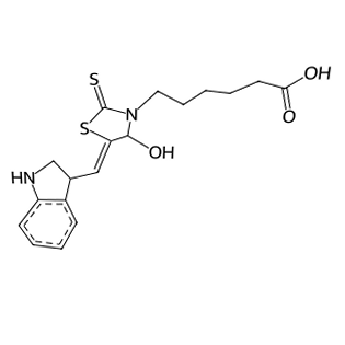 O=C(O)CCCCCN1C(=S)S/C(=C\C2CNc3ccccc32)C1O